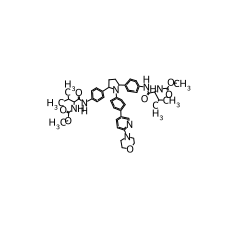 COC(=O)N[C@H](C(=O)Nc1ccc(C2CCC(c3ccc(NC(=O)[C@@H](NC(=O)OC)C(C)C)cc3)N2c2ccc(-c3ccc(N4CCOCC4)nc3)cc2)cc1)C(C)C